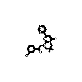 CC1(C)CN(CC(=O)c2cccc(Cl)c2)c2nc(-c3ccncn3)cc(=O)n2C1